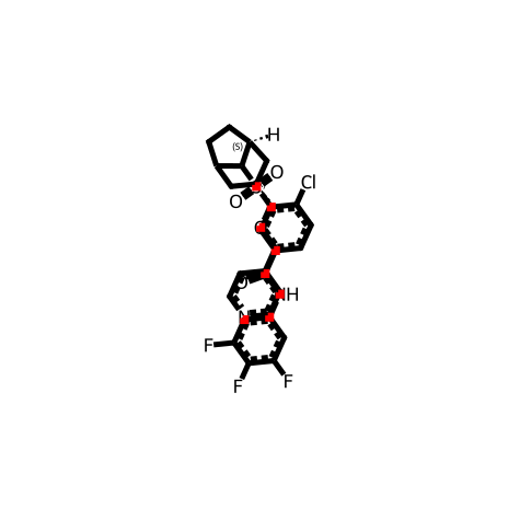 O=C(Nc1cc(F)c(F)c(F)c1)c1ccc(Cl)c(S(=O)(=O)C2C3CC[C@H]2C[C@H](COCc2ccncc2)C3)c1